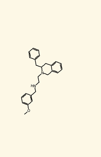 COc1cccc(CNCCN2Cc3ccccc3CC2Cc2ccccc2)c1